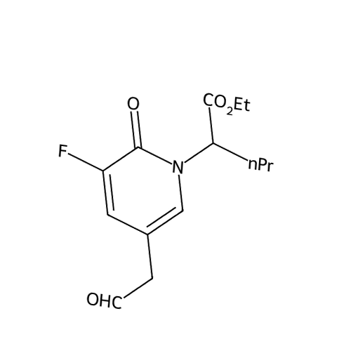 CCCC(C(=O)OCC)n1cc(CC=O)cc(F)c1=O